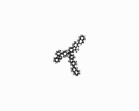 CC1(C)c2cc(-c3ccc4ccccc4c3)ccc2-c2ccc(N(c3ccc(-c4cccc5c4oc4ccccc45)cc3)c3ccc4c(c3)Cc3cc(-c5ccc6ccccc6c5)ccc3-4)cc21